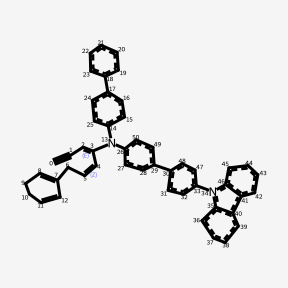 C#C/C=C(\C=C/CC1=CCCC=C1)N(c1ccc(-c2ccccc2)cc1)c1ccc(-c2ccc(-n3c4ccccc4c4ccccc43)cc2)cc1